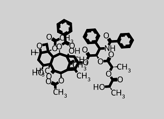 CC(=O)O[C@H]1C(=O)[C@@]2(C)C([C@H](OC(=O)c3ccccc3)[C@]3(O)CC(OC(=O)[C@H](OC(=O)[C@H](C)OC(=O)[C@H](C)O)C(NC(=O)c4ccccc4)c4ccccc4)C(C)=C1C3(C)C)[C@]1(OC(C)=O)CO[C@@H]1C[C@@H]2O